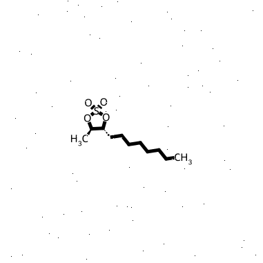 CCCCCCCC[C@H]1OS(=O)(=O)O[C@@H]1C